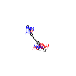 C[C@@H](O)[C@H](NC(=O)c1ccc(C#CC#Cc2ccc(NC(=O)CNc3ccccn3)cc2)cc1)C(=O)NO